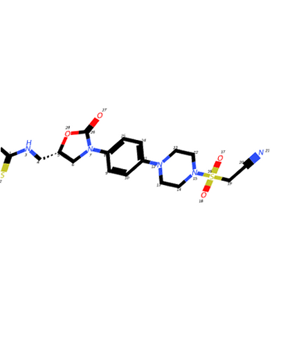 CC(=S)NC[C@H]1CN(c2ccc(N3CCN(S(=O)(=O)CC#N)CC3)cc2)C(=O)O1